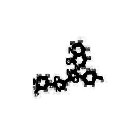 Cc1ccc(-c2oc(-c3cnc(-c4ccnc(C)c4)o3)nc2-n2ccc3cccnc3c2=O)cc1